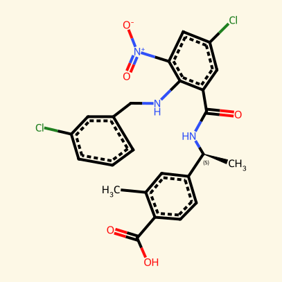 Cc1cc([C@H](C)NC(=O)c2cc(Cl)cc([N+](=O)[O-])c2NCc2cccc(Cl)c2)ccc1C(=O)O